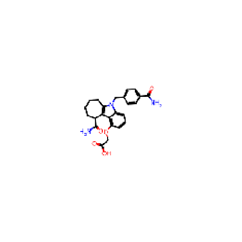 NC(=O)c1ccc(Cn2c3c(c4c(OCC(=O)O)cccc42)C(C(N)=O)CCCC3)cc1